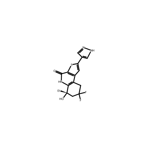 CC[C@]1(O)CC(F)(F)Cc2c1[nH]c(=O)c1sc(-c3cn[nH]c3)cc21